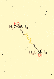 C[Si](C)(O)CCCSSSSCCC[Si](C)(C)O